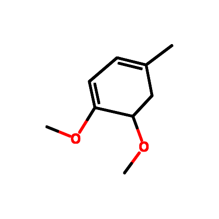 COC1=CC=C(C)CC1OC